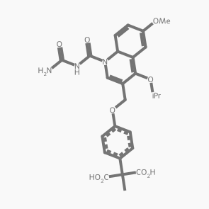 COC1=CC2=C(OC(C)C)C(COc3ccc(C(C)(C(=O)O)C(=O)O)cc3)=CN(C(=O)NC(N)=O)C2C=C1